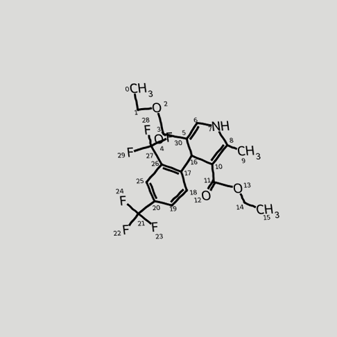 CCOC(=O)C1=CNC(C)=C(C(=O)OCC)C1c1ccc(C(F)(F)F)cc1C(F)(F)F